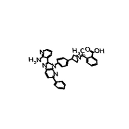 C[C@H](c1ccccc1C(=O)O)N1CC(c2ccc(-n3c(-c4cccnc4N)nc4ccc(-c5ccccc5)nc43)cc2)C1